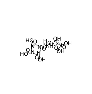 O=C(O)CN1CCN(CC(=O)O)CCN(CC(=O)NNC(=O)CN(CCN(CC(=O)O)CC(=O)O)CC(=O)O)CCN(CC(=O)O)CC1